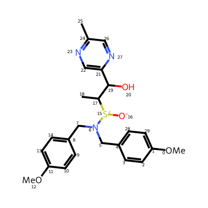 COc1ccc(CN(Cc2ccc(OC)cc2)[S+]([O-])C(C)C(O)c2cnc(C)cn2)cc1